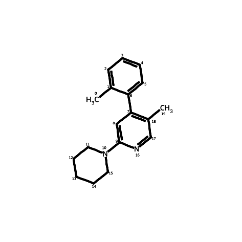 Cc1ccccc1-c1cc(N2CCCCC2)ncc1C